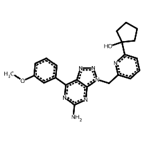 COc1cccc(-c2nc(N)nc3c2nnn3Cc2cccc(C3(O)CCCC3)n2)c1